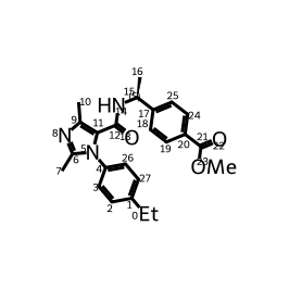 CCc1ccc(-n2c(C)nc(C)c2C(=O)N[C@@H](C)c2ccc(C(=O)OC)cc2)cc1